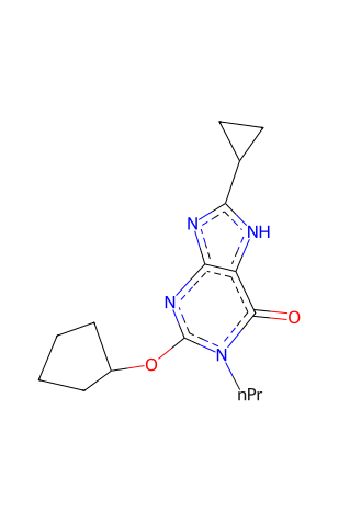 CCCn1c(OC2CCCC2)nc2nc(C3CC3)[nH]c2c1=O